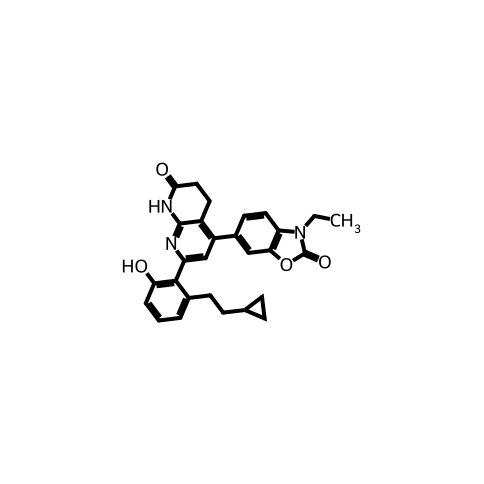 CCn1c(=O)oc2cc(-c3cc(-c4c(O)cccc4CCC4CC4)nc4c3CCC(=O)N4)ccc21